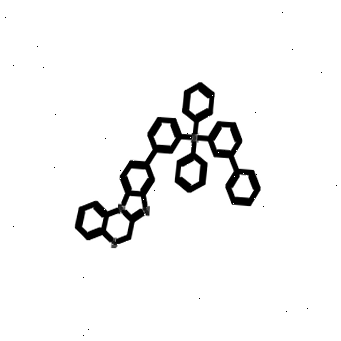 c1ccc(-c2cccc([Si](c3ccccc3)(c3ccccc3)c3cccc(-c4ccc5c(c4)nc4n5-c5ccccc5SC4)c3)c2)cc1